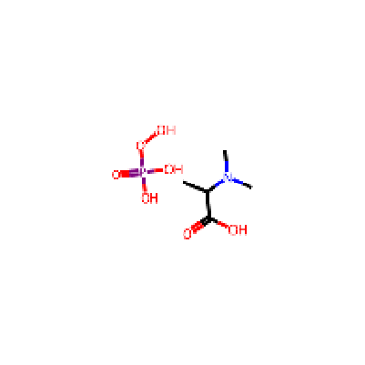 CC(C(=O)O)N(C)C.O=P(O)(O)OO